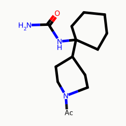 CC(=O)N1CCC(C2(NC(N)=O)CCCCC2)CC1